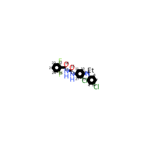 CCN(c1ccc(Cl)cc1)c1ccc(NC(=O)NC(=O)c2c(F)cccc2F)cc1Cl